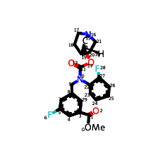 COC(=O)c1cc(F)cc(CN(C(=O)O[C@H]2CN3CCC2CC3)c2ccccc2F)c1